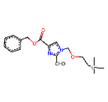 C[Si](C)(C)CCOCn1cc(C(=O)OCc2ccccc2)nc1C=O